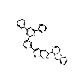 c1ccc(-c2nc(-c3ccccc3)nc(-c3cccc(-c4ccc5cnc(-c6nccc7c6sc6ccccc67)cc5c4)c3)n2)cc1